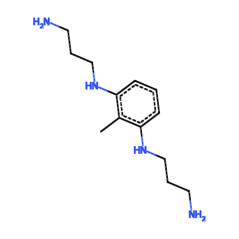 Cc1c(NCCCN)cccc1NCCCN